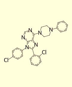 Clc1ccc(-n2c(-c3ccccc3Cl)nc3c(N4CCN(c5ccccc5)CC4)ncnc32)cc1